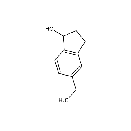 CCc1ccc2c(c1)CCC2O